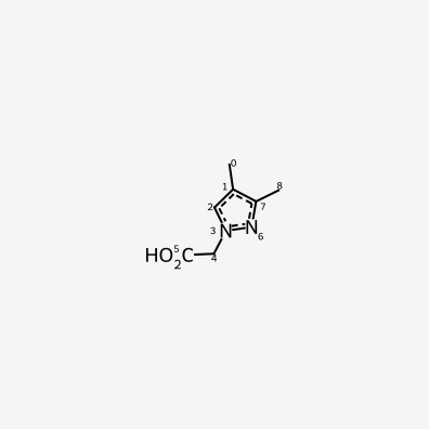 Cc1cn(CC(=O)O)nc1C